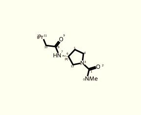 CNC(=O)N1CC[C@@H](NC(=O)CC(C)C)C1